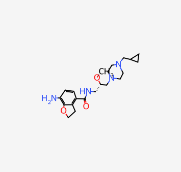 CO[C@@H](CNC(=O)c1ccc(N)c2c1CCO2)CN1CCN(CC2CC2)CC1